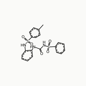 Cc1ccc(S(=O)(=O)Nc2ccccc2NC(=O)NS(=O)(=O)c2ccccc2)cc1